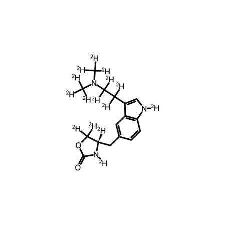 [2H]N1C(=O)OC([2H])([2H])[C@]1([2H])Cc1ccc2c(c1)c(C([2H])([2H])C([2H])([2H])N(C([2H])([2H])[2H])C([2H])([2H])[2H])cn2[2H]